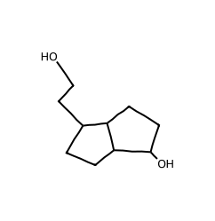 OCCC1CCC2C(O)CCC12